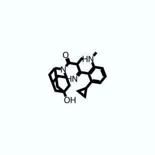 CNc1cccc(C2CC2)c1C(=N)C(C)C(=O)N1C2CC3CC1CC(O)(C3)C2